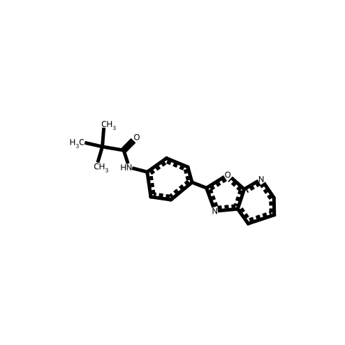 CC(C)(C)C(=O)Nc1ccc(-c2nc3cccnc3o2)cc1